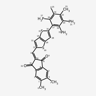 Cc1cc2c(cc1C)C(=O)C(=Cc1cc3sc(-c4c(P)c(P)c(C)c(I)c4P)cc3s1)C2=O